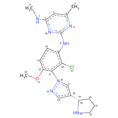 CNc1cc(C)nc(Nc2ccc(OC)c(-n3cc([C@@H]4CCCN4)cn3)c2Cl)n1